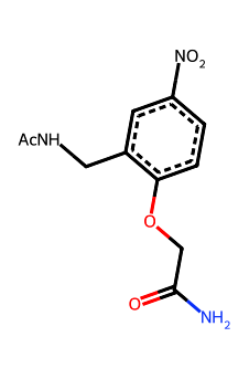 CC(=O)NCc1cc([N+](=O)[O-])ccc1OCC(N)=O